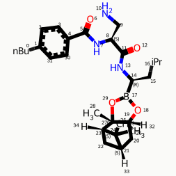 CCCCc1ccc(C(=O)N[C@@H](CN)C(=O)N[C@@H](CC(C)C)B2O[C@@H]3C[C@@H]4C[C@@H](C4(C)C)[C@]3(C)O2)cc1